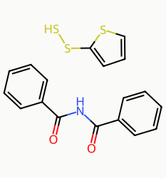 O=C(NC(=O)c1ccccc1)c1ccccc1.SSc1cccs1